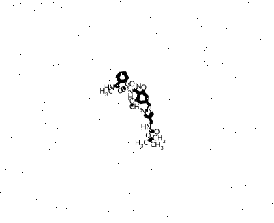 CNC(=O)c1ccccc1S(=O)(=O)Nc1noc2cc(Cn3cc(CNC(=O)OC(C)(C)C)cn3)cc(OC)c12